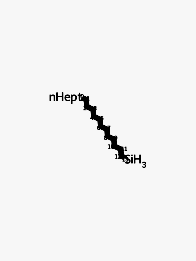 CCCCCCCCCCCCCCCCCCC[SiH3]